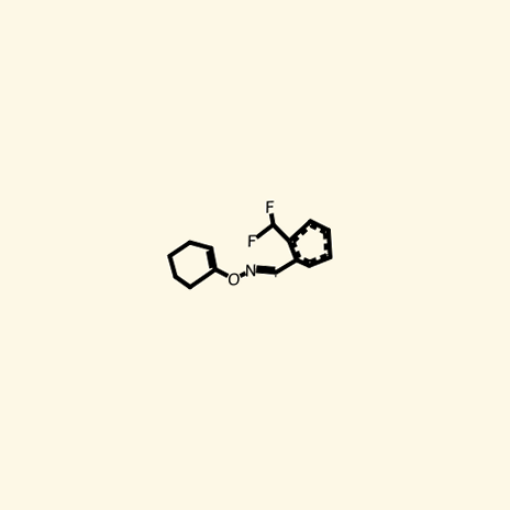 FC(F)c1ccccc1[C]=NOC1=CCCCC1